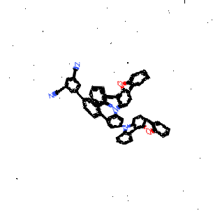 N#Cc1cc(C#N)cc(-c2ccc(-c3ccc(-n4c5ccccc5c5c6oc7ccccc7c6ccc54)cc3-n3c4ccccc4c4c5oc6ccccc6c5ccc43)cc2)c1